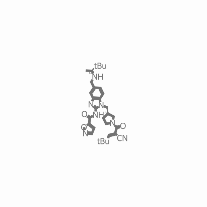 C[C@H](NCc1ccc2c(c1)nc(NC(=O)c1ccno1)n2C[C@@H]1CCN(C(=O)C(C#N)=CC(C)(C)C)C1)C(C)(C)C